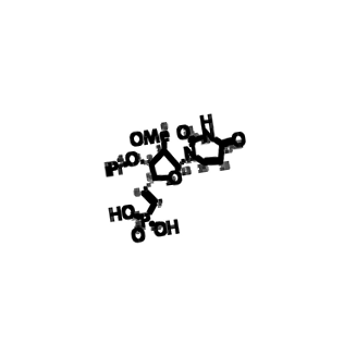 COC1[C@@H](OC(C)C)[C@@H](/C=C/P(=O)(O)O)O[C@H]1n1ccc(=O)[nH]c1=O